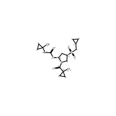 N#CC1(NC(=O)O[C@H]2C[C@@H](S(=O)(=O)CC3CC3)CN2C(=O)C2(C(F)(F)F)CC2)CC1